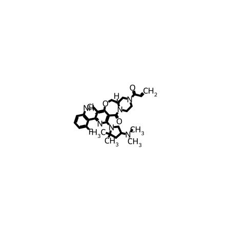 C=CC(=O)N1CCN2C(=O)c3c(N4CC(N(C)C)CC4(C)C)nc(-c4c(N)cccc4F)c(Cl)c3OC[C@H]2C1